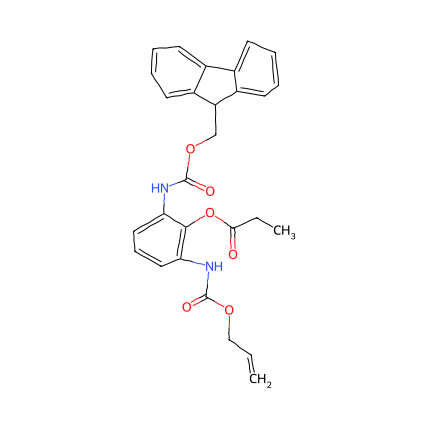 C=CCOC(=O)Nc1cccc(NC(=O)OCC2c3ccccc3-c3ccccc32)c1OC(=O)CC